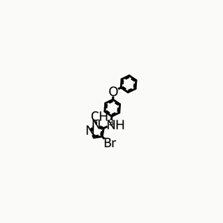 Cn1ncc(Br)c1Nc1ccc(Oc2ccccc2)cc1